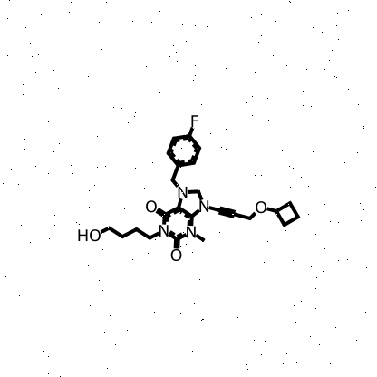 Cn1c2c(c(=O)n(CCCCO)c1=O)N(Cc1ccc(F)cc1)CN2C#CCOC1CCC1